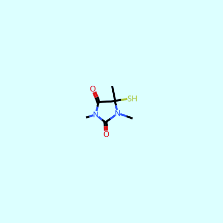 CN1C(=O)N(C)C(C)(S)C1=O